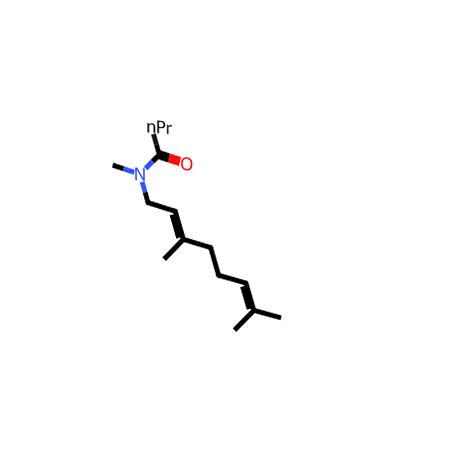 CCCC(=O)N(C)C/C=C(\C)CCC=C(C)C